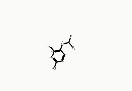 FC(F)Oc1ccc(Cl)nc1Br